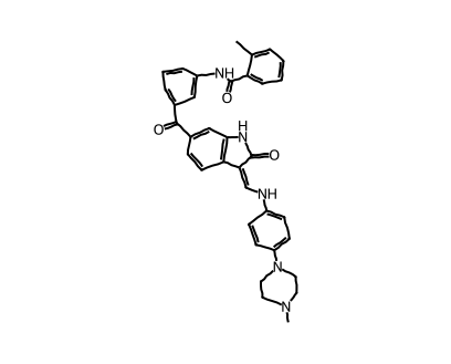 Cc1ccccc1C(=O)Nc1cccc(C(=O)c2ccc3c(c2)NC(=O)C3=CNc2ccc(N3CCN(C)CC3)cc2)c1